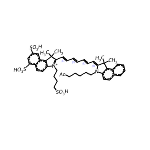 CC(=O)CCCCCN1\C(=C/C=C/C=C/C=C/C2=[N+](CCCCS(=O)(=O)O)c3ccc4c(S(=O)(=O)O)cc(S(=O)(=O)O)cc4c3C2(C)C)C(C)(C)c2c1ccc1ccccc21